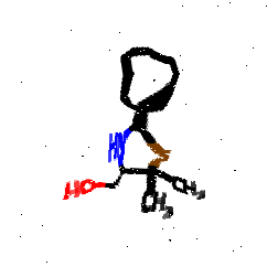 CC1(C)SC(c2ccccc2)N[C@H]1CO